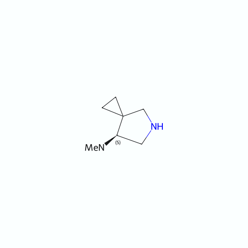 CN[C@@H]1CNCC12CC2